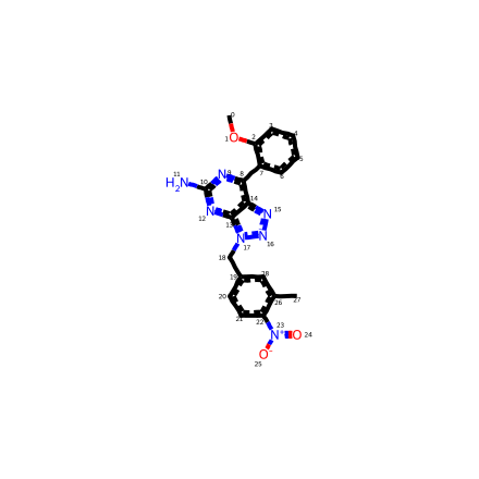 COc1ccccc1-c1nc(N)nc2c1nnn2Cc1ccc([N+](=O)[O-])c(C)c1